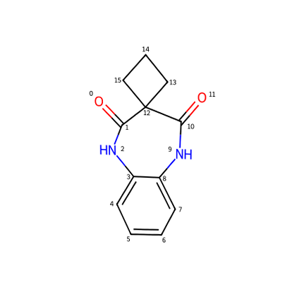 O=C1Nc2ccccc2NC(=O)C12CCC2